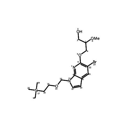 COC(CO)COc1nc2c(ccn2COCC[Si](C)(C)C)cc1Br